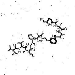 CC[C@H](C)[C@@H]([C@@H](CC(=O)N1CCC[C@H]1[C@H](OC)[C@@H](C)C(=O)NCCc1cccc(NC(=O)[C@H](C)NC(=O)[C@H](C)NC(=O)c2ccc(CBr)nn2)c1)OC)N(C)C(=O)[C@@H](NC(=O)[C@H](C(C)C)N(C)C)C(C)C